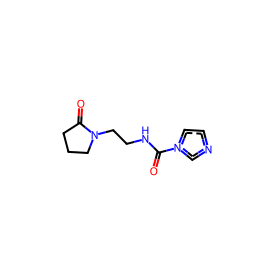 O=C1CCCN1CCNC(=O)n1ccnc1